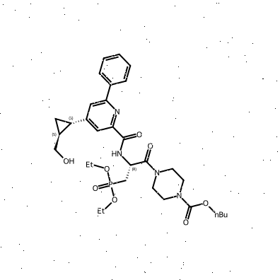 CCCCOC(=O)N1CCN(C(=O)[C@H](CP(=O)(OCC)OCC)NC(=O)c2cc([C@H]3C[C@@H]3CO)cc(-c3ccccc3)n2)CC1